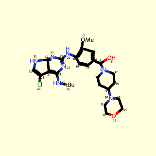 COc1cc(C(O)N2CCC(N3CCOCC3)CC2)ccc1Nc1nc(NC(C)(C)C)c2c(Cl)c[nH]c2n1